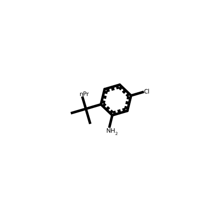 CCCC(C)(C)c1ccc(Cl)cc1N